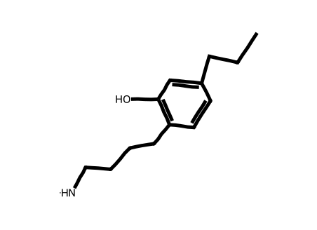 CCCc1ccc(CCCC[NH])c(O)c1